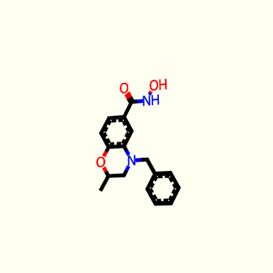 CC1CN(Cc2ccccc2)c2cc(C(=O)NO)ccc2O1